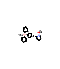 CCCC[B-](c1ccccc1)(c1ccccc1)c1ccccc1.CCO[n+]1ccccc1C